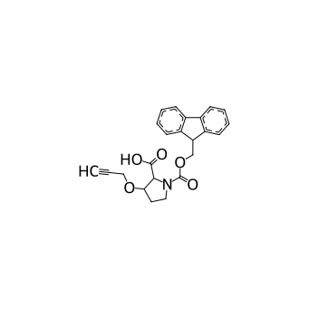 C#CCOC1CCN(C(=O)OCC2c3ccccc3-c3ccccc32)C1C(=O)O